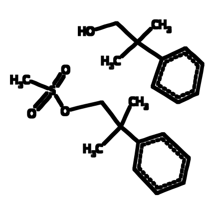 CC(C)(CO)c1ccccc1.CC(C)(COS(C)(=O)=O)c1ccccc1